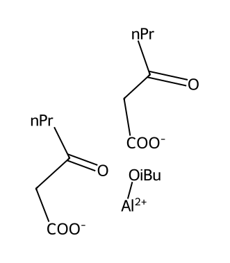 CC(C)C[O][Al+2].CCCC(=O)CC(=O)[O-].CCCC(=O)CC(=O)[O-]